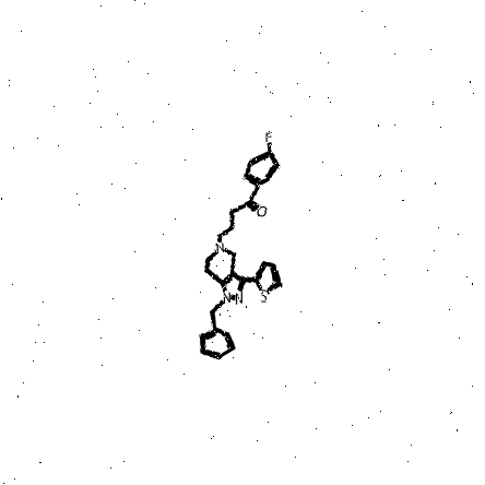 O=C(CCCN1CCc2c(c(-c3cccs3)nn2Cc2ccccc2)C1)c1ccc(F)cc1